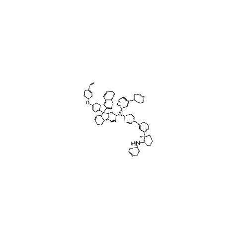 C=CC1=CCC(OC2=CC=C(C3(C4=CCC5CCC=CC5=C4)C4C=CCCC4C4C=CC(N(C5CCC(C6=CC(C7(C)CCCCC7NC7CC=CCC7)=CCC6)CC5)C5CCC=C(C6CC=CCC6)C5)CC43)CC2)C=C1